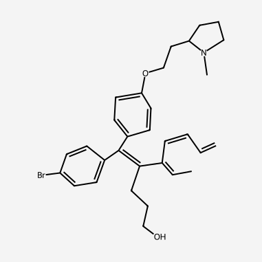 C=C\C=C/C(=C\C)C(/CCCO)=C(/c1ccc(Br)cc1)c1ccc(OCCC2CCCN2C)cc1